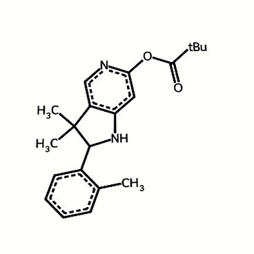 Cc1ccccc1C1Nc2cc(OC(=O)C(C)(C)C)ncc2C1(C)C